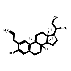 C=CCc1cc2c(cc1O)CC[C@@H]1[C@@H]2CC[C@]2(C)[C@@H]([C@H](C)CO)CC[C@@H]12